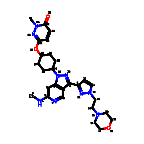 CCNc1cc2c(cn1)c(-c1ccn(CCN3CCOCC3)n1)nn2C1CCC(Oc2ccc(=O)n(C)n2)CC1